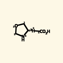 C1COCN1.[2H]C(=O)O